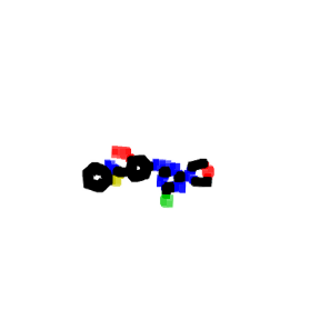 Oc1cc(Nc2nc(Cl)nc(N3CCOCC3)n2)ccc1-c1nc2ccccc2s1